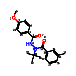 COc1ccc(C(=O)NN(C(=O)c2cccc(C)c2)C(C)(C)C)cc1